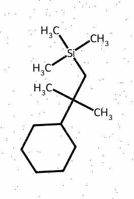 CC(C)(C[Si](C)(C)C)C1CCCCC1